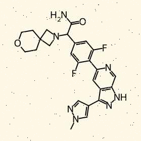 Cn1cc(-c2n[nH]c3cnc(-c4c(F)cc(C(C(N)=O)N5CC6(CCOCC6)C5)cc4F)cc23)cn1